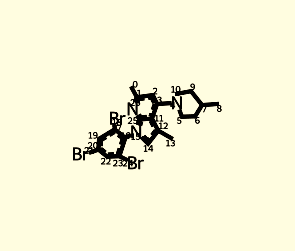 Cc1cc(N2CCC(C)CC2)c2c(C)cn(-c3c(Br)cc(Br)cc3Br)c2n1